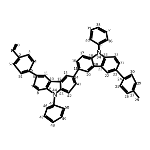 C=Cc1ccc(-c2ccc3c(c2)c2cc(-c4ccc5c(c4)c4cc(-c6ccc(C)cc6)ccc4n5-c4ccccc4)ccc2n3-c2ccccc2)cc1